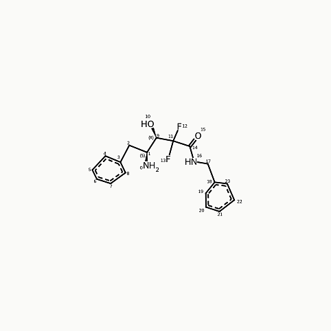 N[C@@H](Cc1ccccc1)[C@@H](O)C(F)(F)C(=O)NCc1ccccc1